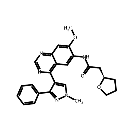 COc1cc2ncnc(-c3cn(C)nc3-c3ccccc3)c2cc1NC(=O)C[C@H]1CCCO1